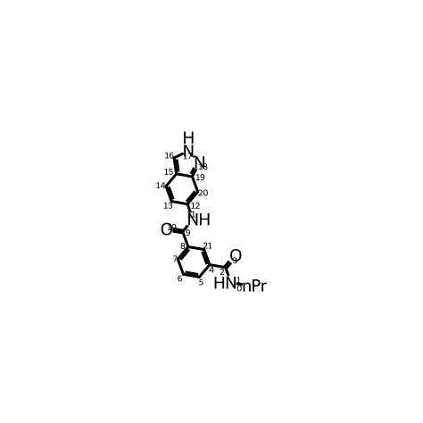 CCCNC(=O)c1cccc(C(=O)Nc2ccc3c[nH]nc3c2)c1